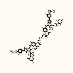 COc1ccc(-c2nc3n(n2)/C(=N/c2cc4c(cc2C)N(CCOCCN2c5cc(C)c(/N=C6\C(C#N)=C(COOC7C(C)CC(C)CC7C)c7nc(-c8ccc(C=O)c(C)c8)nn76)cc5C(C)CC2(C)C)C(C)(C)CC4C)C(C#N)=C3C(=O)OC2C(C)CC(C)CC2C)cc1C